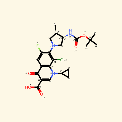 C[C@@H]1CN(c2c(F)cc3c(=O)c(C(=O)O)cn(C4CC4)c3c2Cl)C[C@H]1NC(=O)OC(C)(C)C